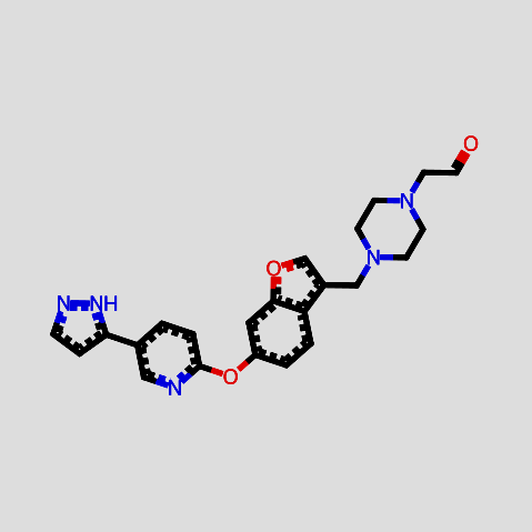 O=CCN1CCN(Cc2coc3cc(Oc4ccc(-c5ccn[nH]5)cn4)ccc23)CC1